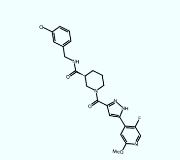 COc1cc(-c2cc(C(=O)N3CCC[C@H](C(=O)NCc4cccc(Cl)c4)C3)n[nH]2)c(F)cn1